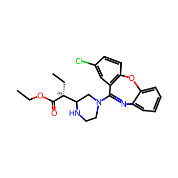 CCOC(=O)[C@H](CC)C1CN(C2=Nc3ccccc3Oc3ccc(Cl)cc32)CCN1